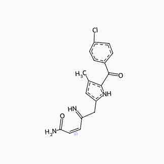 Cc1cc(CC(=N)/C=C\C(N)=O)[nH]c1C(=O)c1ccc(Cl)cc1